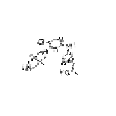 CC(O)Cn1cc(Nc2ncc(Cl)c(N3C[C@]4(C)CNC[C@]4(C)C3)n2)cn1